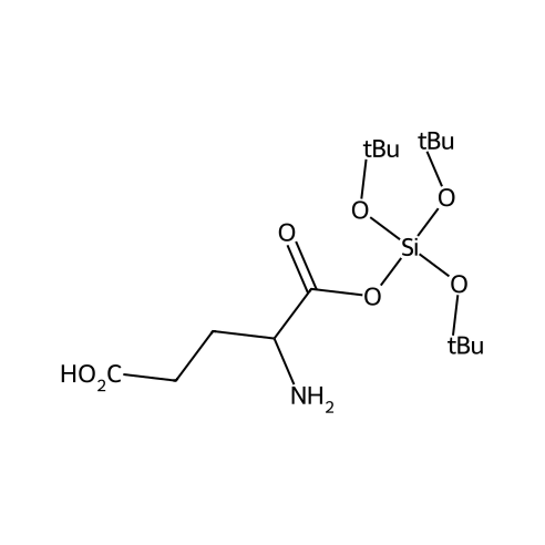 CC(C)(C)O[Si](OC(=O)C(N)CCC(=O)O)(OC(C)(C)C)OC(C)(C)C